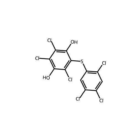 Oc1c(Cl)c(Cl)c(O)c(Sc2cc(Cl)c(Cl)cc2Cl)c1Cl